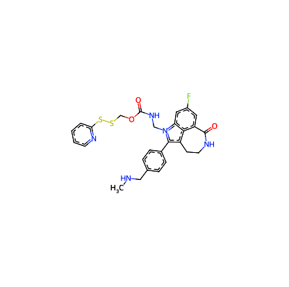 CNCc1ccc(-c2c3c4c(cc(F)cc4n2CNC(=O)OCSSc2ccccn2)C(=O)NCC3)cc1